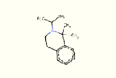 CC(C)N1CCc2ccccc2C1(C)C